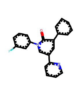 O=c1c(-c2ccccc2)cc(-c2ccccn2)cn1-c1cccc(F)c1